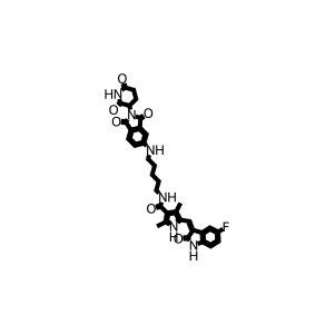 Cc1[nH]c(C=C2C(=O)Nc3ccc(F)cc32)c(C)c1C(=O)NCCCCCNc1ccc2c(c1)C(=O)N(C1CCC(=O)NC1=O)C2=O